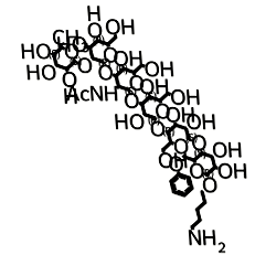 CC(=O)NC1C(O[C@@H]2OC(CO)[C@H](O)C(O)C2O[C@@H]2OC(C)[C@@H](O)C(O)C2O)[C@@H](O)C(CO)O[C@H]1OC1C(O)[C@@H](O[C@H]2C(CO)O[C@@H](O[C@@H]3C(COc4ccccc4)O[C@@H](OCCCCCN)C(O)C3O)C(O)C2O)OC(CO)[C@@H]1O